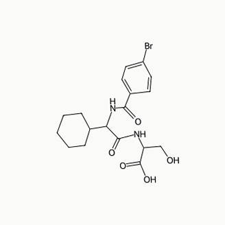 O=C(NC(C(=O)NC(CO)C(=O)O)C1CCCCC1)c1ccc(Br)cc1